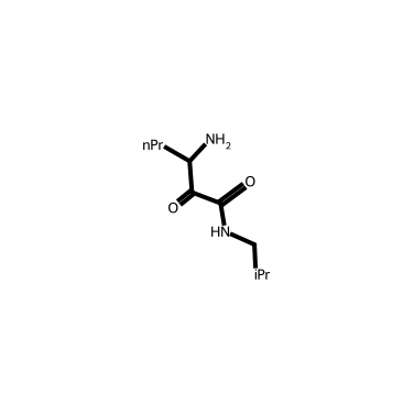 CCCC(N)C(=O)C(=O)NCC(C)C